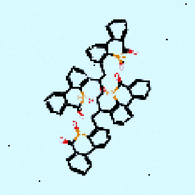 O=C1c2ccccc2-c2cccc(CC(CCC(Cc3cccc4c3[PH](=O)C(=O)c3ccccc3-4)c3cccc4c3[PH](=O)C(=O)c3ccccc3-4)c3cccc4c3[PH](=O)C(=O)c3ccccc3-4)c2[PH]1=O